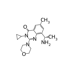 Cc1cc([C@@H](C)N)c2nc(N3CCOCC3)n(C3CC3)c(=O)c2c1